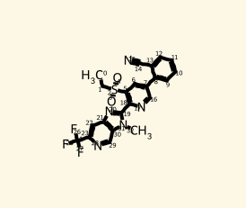 CCS(=O)(=O)c1cc(-c2ccccc2C#N)cnc1-c1nc2cc(C(F)(F)F)ncc2n1C